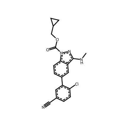 CNc1nn(C(=O)OCC2CC2)c2ccc(-c3cc(C#N)ccc3Cl)cc12